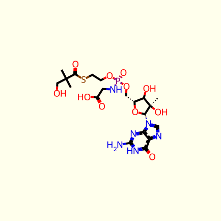 CC(C)(CO)C(=O)SCCOP(=O)(NCC(=O)O)OC[C@H]1O[C@@H](n2cnc3c(=O)[nH]c(N)nc32)[C@](C)(O)C1O